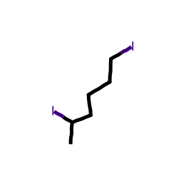 CC(I)CCCCI